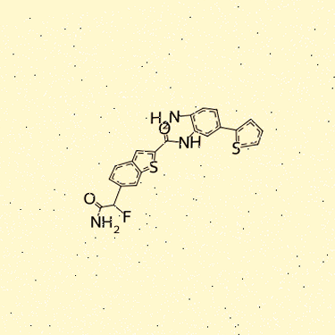 NC(=O)C(F)c1ccc2cc(C(=O)Nc3cc(-c4cccs4)ccc3N)sc2c1